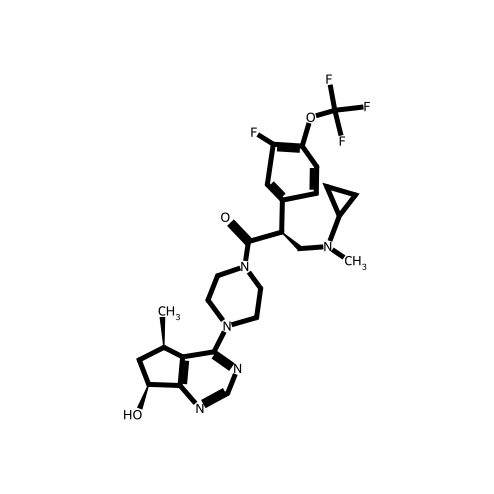 C[C@@H]1C[C@H](O)c2ncnc(N3CCN(C(=O)[C@H](CN(C)C4CC4)c4ccc(OC(F)(F)F)c(F)c4)CC3)c21